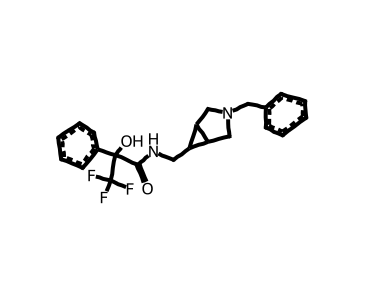 O=C(NCC1C2CN(Cc3ccccc3)CC12)C(O)(c1ccccc1)C(F)(F)F